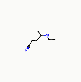 CCN[C@H](C)CCC#N